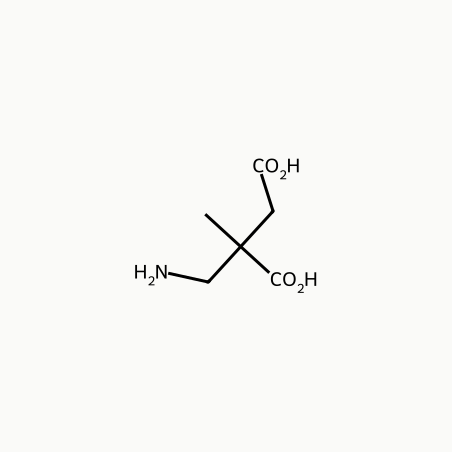 CC(CN)(CC(=O)O)C(=O)O